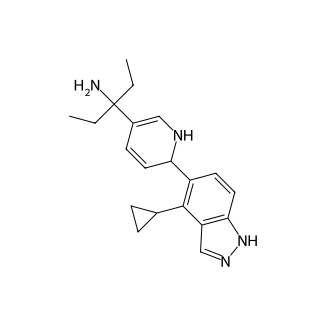 CCC(N)(CC)C1=CNC(c2ccc3[nH]ncc3c2C2CC2)C=C1